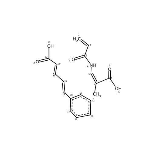 C=CC(=O)NC=C(C)C(=O)O.O=C(O)C=CC=Cc1ccccc1